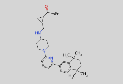 CCCC(=O)C1CC1CNC1CCN(c2cccc(-c3ccc4c(c3)C(C)(C)CCC4(C)C)n2)CC1